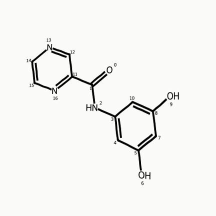 O=C(Nc1cc(O)cc(O)c1)c1cnccn1